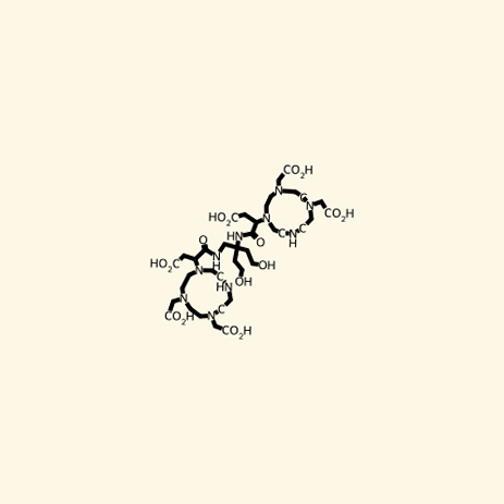 O=C(O)CC(C(=O)NCC(CCO)(CCO)NC(=O)C(CC(=O)O)N1CCNCCN(CC(=O)O)CCN(CC(=O)O)CC1)N1CCNCCN(CC(=O)O)CCN(CC(=O)O)CC1